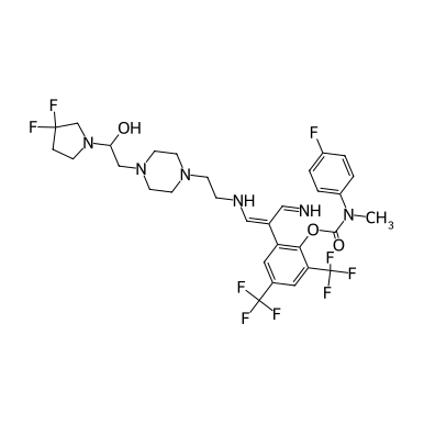 CN(C(=O)Oc1c(/C(C=N)=C/NCCN2CCN(CC(O)N3CCC(F)(F)C3)CC2)cc(C(F)(F)F)cc1C(F)(F)F)c1ccc(F)cc1